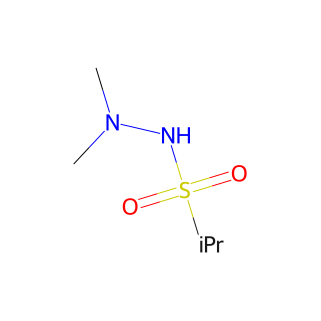 CC(C)S(=O)(=O)NN(C)C